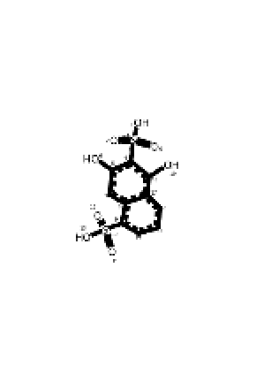 O=S(=O)(O)c1c(O)cc2c(S(=O)(=O)O)cccc2c1O